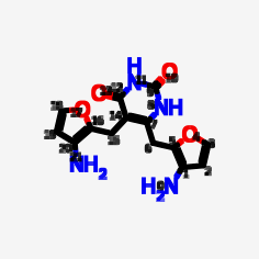 Nc1ccoc1Cc1[nH]c(=O)[nH]c(=O)c1Cc1occc1N